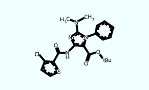 CN(C)c1nc(NC(=O)c2sccc2Cl)c(C(=O)OC(C)(C)C)n1-c1ccccc1